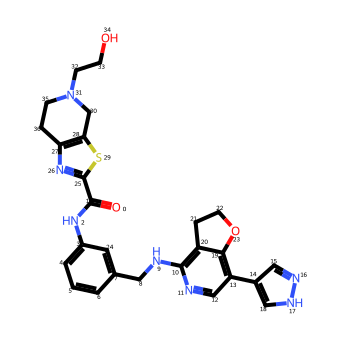 O=C(Nc1cccc(CNc2ncc(-c3cn[nH]c3)c3c2CCO3)c1)c1nc2c(s1)CN(CCO)CC2